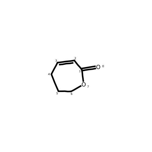 O=C1C=CCCCO1